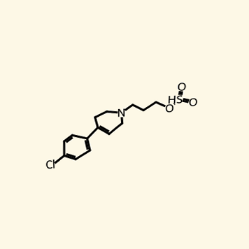 O=[SH](=O)OCCCN1CC=C(c2ccc(Cl)cc2)CC1